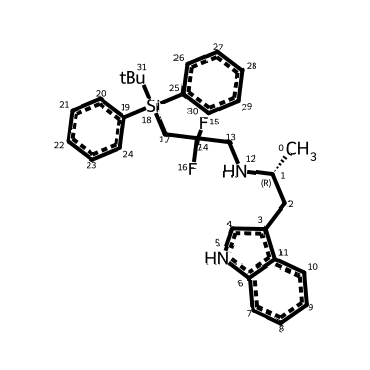 C[C@H](Cc1c[nH]c2ccccc12)NCC(F)(F)C[Si](c1ccccc1)(c1ccccc1)C(C)(C)C